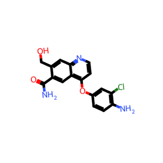 NC(=O)c1cc2c(Oc3ccc(N)c(Cl)c3)ccnc2cc1CO